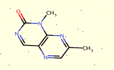 Cc1cnc2cnc(=O)n(C)c2n1